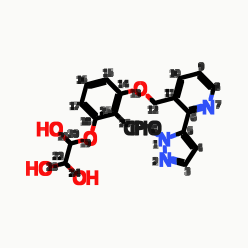 CC(C)n1nccc1-c1ncccc1COc1cccc(OC(O)C(O)O)c1C=O